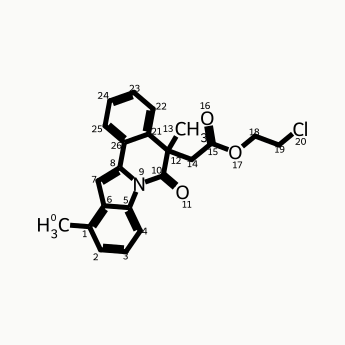 Cc1cccc2c1cc1n2C(=O)C(C)(CC(=O)OCCCl)c2ccccc2-1